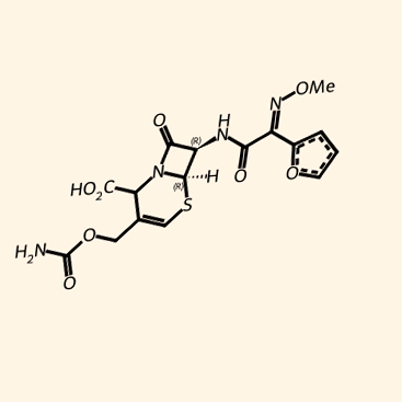 CON=C(C(=O)N[C@@H]1C(=O)N2C(C(=O)O)C(COC(N)=O)=CS[C@H]12)c1ccco1